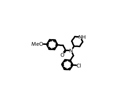 COc1ccc(CC(=O)N(Cc2ccccc2Cl)C2CCNCC2)cc1